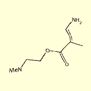 CNCCOC(=O)C(C)=CN